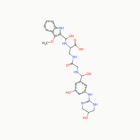 COc1c(C(O)NC(CNC(=O)CNC(O)c2cc(O)cc(NC3=NCC(O)CN3)c2)C(=O)O)[nH]c2ccccc12